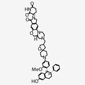 COc1cc(N2CCC3(CC2)CC(CN2CCN4c5cc6c(cc5OC[C@@H]4C2)C(=O)N([C@H]2CCC(=O)NC2=O)C6)CO3)ccc1[C@H]1c2ccc(O)cc2CC[C@H]1c1ccccc1